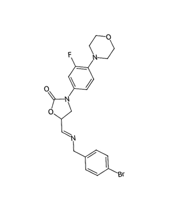 O=C1OC(/C=N/Cc2ccc(Br)cc2)CN1c1ccc(N2CCOCC2)c(F)c1